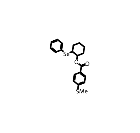 CSc1ccc(C(=O)OC2CCCCC2[Se]c2ccccc2)cc1